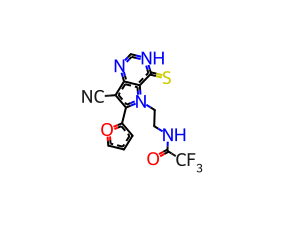 N#Cc1c(-c2ccco2)n(CCNC(=O)C(F)(F)F)c2c(=S)[nH]cnc12